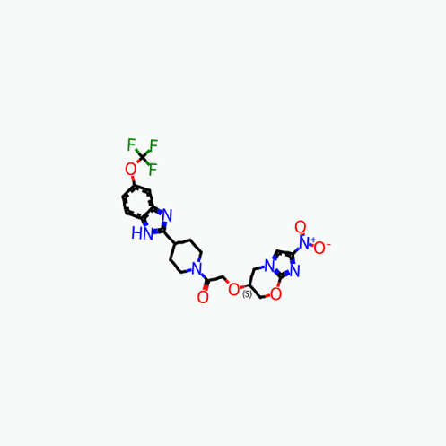 O=C(CO[C@@H]1COc2nc([N+](=O)[O-])cn2C1)N1CCC(c2nc3cc(OC(F)(F)F)ccc3[nH]2)CC1